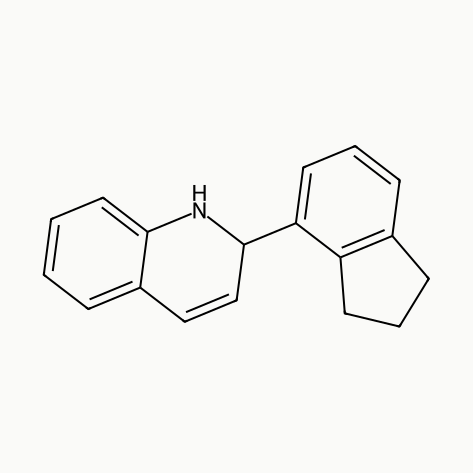 C1=CC(c2cccc3c2CCC3)Nc2ccccc21